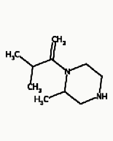 C=C(C(C)C)N1CCNCC1C